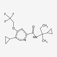 CCC(C)(NC(=O)c1cc(OCC(F)(F)F)c(C2CC2)cn1)C1CC1